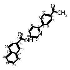 CC(=O)c1ccc(-c2ccc(NC(=O)c3ccc4ccccc4c3)cn2)nc1